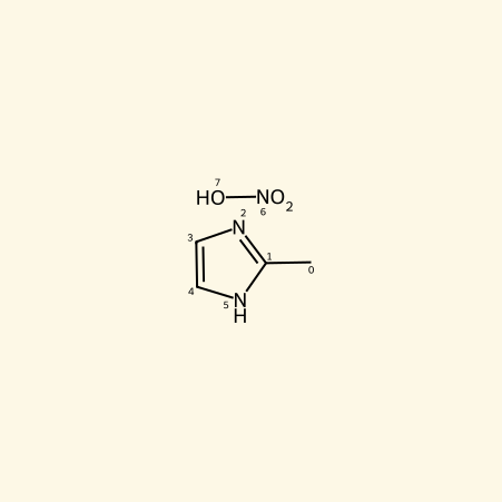 Cc1ncc[nH]1.O=[N+]([O-])O